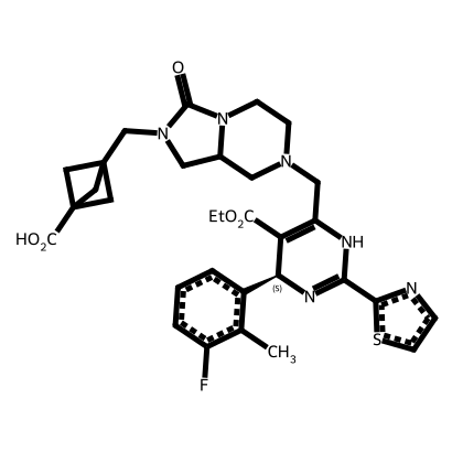 CCOC(=O)C1=C(CN2CCN3C(=O)N(CC45CC(C(=O)O)(C4)C5)CC3C2)NC(c2nccs2)=N[C@H]1c1cccc(F)c1C